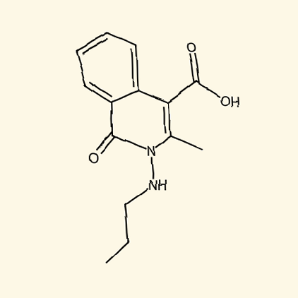 CCCNn1c(C)c(C(=O)O)c2ccccc2c1=O